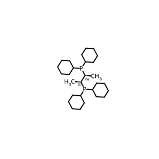 C[C@@H]([C@H](C)P(C1CCCCC1)C1CCCCC1)P(C1CCCCC1)C1CCCCC1